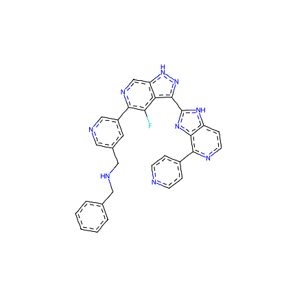 Fc1c(-c2cncc(CNCc3ccccc3)c2)ncc2[nH]nc(-c3nc4c(-c5ccncc5)nccc4[nH]3)c12